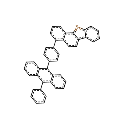 c1ccc(-c2c3ccccc3c(-c3ccc(-c4cccc5c4ccc4c6ccccc6sc54)cc3)c3ccccc23)cc1